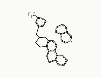 FC(F)(F)c1cccc(CC2CCc3c(ccc4c3ccc3ccccc34)C2)c1.c1ccc2cnccc2c1